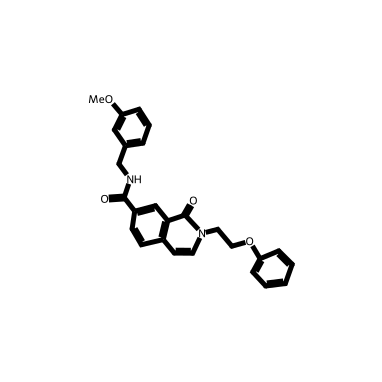 COc1cccc(CNC(=O)c2ccc3ccn(CCOc4ccccc4)c(=O)c3c2)c1